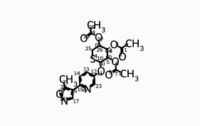 CC(=O)O[C@@H]1[C@@H](OC(C)=O)[C@@H](Oc2ccc(-c3cnoc3C)nc2)SC[C@H]1OC(C)=O